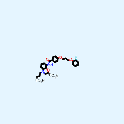 O=C(O)CCCN1CC(C(=O)O)Oc2c(NC(=O)c3ccc(OCCCOc4ccccc4F)cc3)cccc21